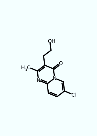 Cc1nc2ccc(Cl)cn2c(=O)c1CCO